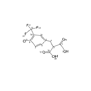 O=C(O)C(Cc1ccc(Cl)c(C(F)(F)F)c1)C(=O)O